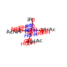 CC(=O)NC1[C@H](OCCCCCCNC(=O)CCOCC(COCCC(=O)NCCCCCCO[C@@H]2OC(CO)[C@H](O)[C@H](O)C2NC(C)=O)(COCCC(=O)NCCCCCCO[C@@H]2OC(CO)[C@H](O)[C@H](O)C2NC(C)=O)NC(=O)CCCC(=O)NCCCCCCOC(C)C)OC(CO)[C@H](O)[C@@H]1O